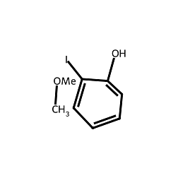 COC.Oc1ccccc1I